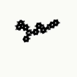 c1ccc(-c2nc(-c3cccc(-c4cccc5sc6c(-c7nc8cc9ccccc9cc8s7)cccc6c45)c3)nc(-c3ccc4c(c3)-c3cccc5cccc-4c35)n2)cc1